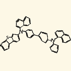 c1ccc(N(c2ccc(-c3ccc(N(c4ccc5c(c4)sc4ccccc45)c4cccc5ccccc45)cc3)cc2)c2cccc3ccccc23)cc1